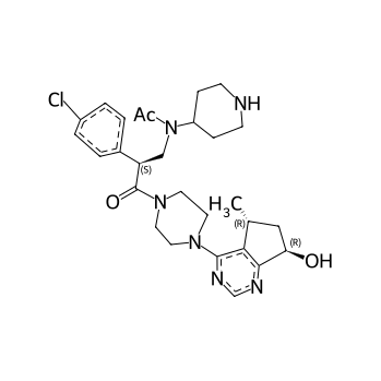 CC(=O)N(C[C@@H](C(=O)N1CCN(c2ncnc3c2[C@H](C)C[C@H]3O)CC1)c1ccc(Cl)cc1)C1CCNCC1